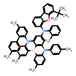 Cc1ccc(-c2cc(C)ccc2N2c3ccc(C)cc3B3c4cc(C)ccc4N(c4ccc(C)cc4)c4cc(N(c5ccccc5C)c5cccc6c5oc5c(C(C)(C)C)cccc56)cc2c43)cc1